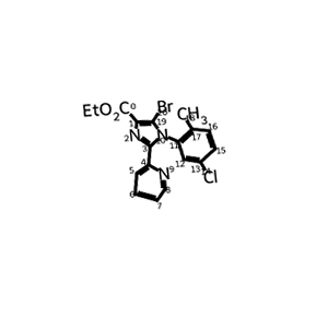 CCOC(=O)c1nc(-c2ccccn2)n(-c2cc(Cl)ccc2C)c1Br